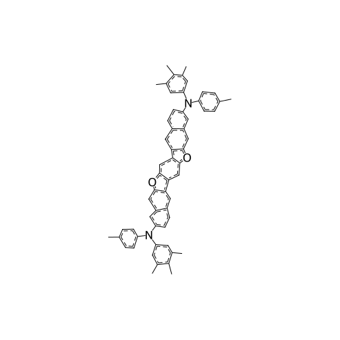 Cc1ccc(N(c2cc(C)c(C)c(C)c2)c2ccc3cc4c(cc3c2)oc2cc3c(cc24)oc2cc4cc(N(c5ccc(C)cc5)c5cc(C)c(C)c(C)c5)ccc4cc23)cc1